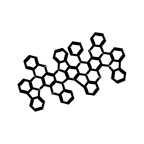 c1ccc(N2c3c4c5c(c6c3B3c7c(cccc7-c7c3c2c2c3ccccc3n3c2c7B2c7ccccc7Oc7c2c-3c2c3c7-n7c8ccccc8c8cccc(c87)B3c3ccccc3O2)O6)-n2c3ccccc3c3cccc(c32)B5c2ccccc2O4)cc1